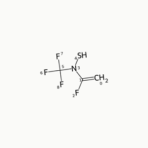 C=C(F)N(S)C(F)(F)F